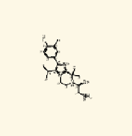 Cc1cc(-c2nc3n(c2C(C)C)CCN(C(=O)CN)C3(C)C)ccc1F